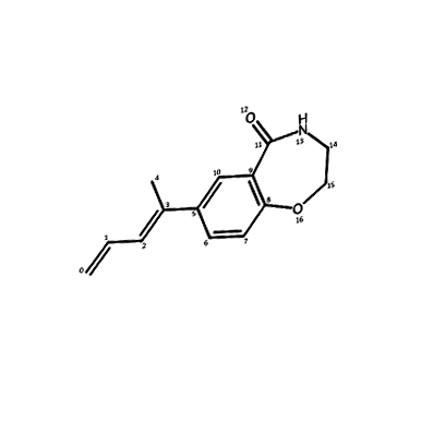 C=C/C=C(\C)c1ccc2c(c1)C(=O)NCCO2